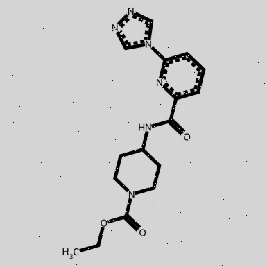 CCOC(=O)N1CCC(NC(=O)c2cccc(-n3cnnc3)n2)CC1